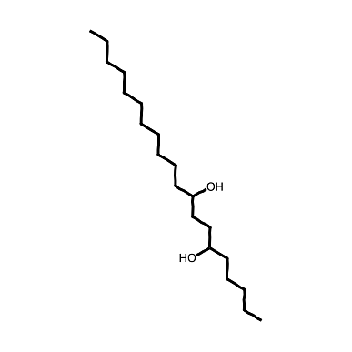 CCCCCCCCCCCC(O)CCC(O)CCCCC